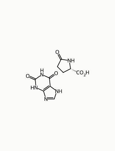 O=C1CC[C@@H](C(=O)O)N1.O=c1[nH]c(=O)c2[nH]cnc2[nH]1